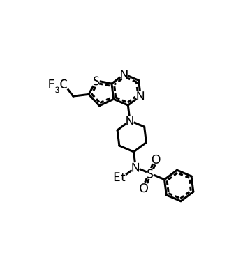 CCN(C1CCN(c2ncnc3sc(CC(F)(F)F)cc23)CC1)S(=O)(=O)c1ccccc1